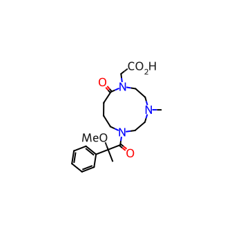 COC(C)(C(=O)N1CCCC(=O)N(CC(=O)O)CCN(C)CC1)c1ccccc1